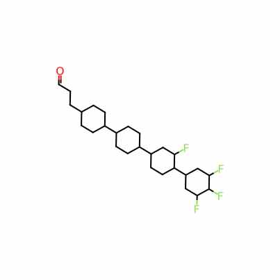 O=CCCC1CCC(C2CCC(C3CCC(C4CC(F)C(F)C(F)C4)C(F)C3)CC2)CC1